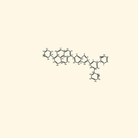 c1ccc(-c2cc(-c3ccc4cc(-c5ccc6ccc7c(-c8cccnc8)ccc8ccc5c6c87)ccc4c3)cc(-c3ccccn3)c2)nc1